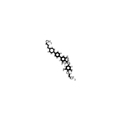 C=CCCC1CCC(c2ccc(-c3cc(F)c(C(F)(F)Oc4cc(F)c(O/C=C/C(F)(F)F)c(F)c4)c(F)c3)cc2)CC1